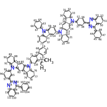 CC1(C)c2ccc(-c3ccc4c(c3)c3cc(-n5c6ccccc6c6cc7c(cc65)c5ccccc5n7-c5ccc(-c6nc(-c7ccccc7)c7ccccc7n6)cc5)ccc3n4-c3ccccc3)cc2-c2ccc(-n3c4ccccc4c4cc5c(cc43)c3ccccc3n5-c3cccc(-c4nc(-c5ccccc5)c5ccccc5n4)c3)cc21